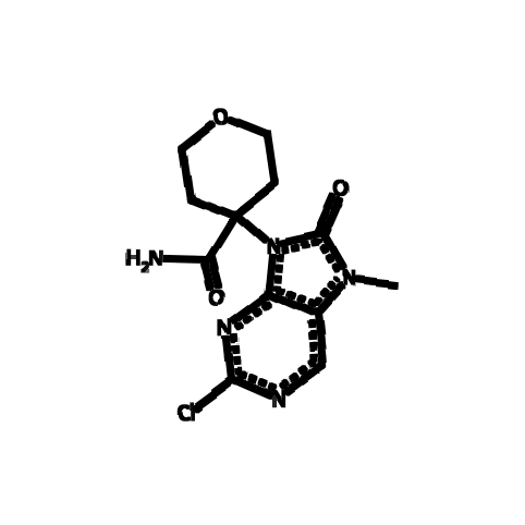 Cn1c(=O)n(C2(C(N)=O)CCOCC2)c2nc(Cl)ncc21